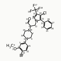 COc1cc(N2CCN(C(C=O)Cn3nc(C(F)(F)F)c(Cl)c3-c3ccccc3)CC2)ccc1Br